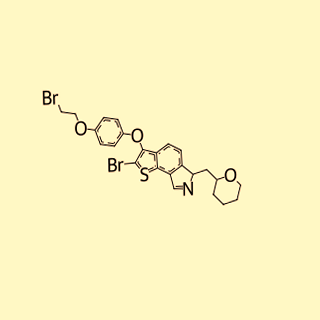 BrCCOc1ccc(Oc2c(Br)sc3c4c(ccc23)C(CC2CCCCO2)N=C4)cc1